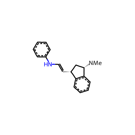 CN[C@H]1C[C@@H](/C=C/Nc2ccccc2)c2ccccc21